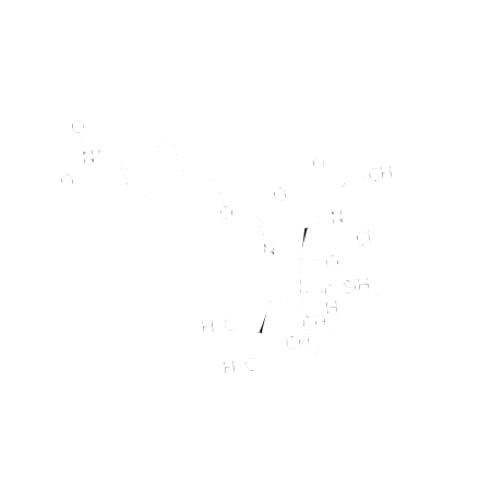 CC(=O)N(Cl)C[C@]1(O[SiH3])N(C(=O)OCc2ccc([N+](=O)[O-])cc2)C[C@H](C(C)(C)C)C1(C)C